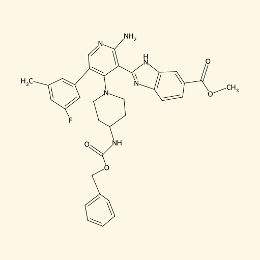 COC(=O)c1ccc2nc(-c3c(N)ncc(-c4cc(C)cc(F)c4)c3N3CCC(NC(=O)OCc4ccccc4)CC3)[nH]c2c1